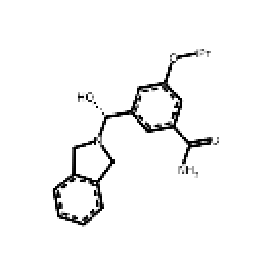 CC(C)Oc1cc(C(N)=O)cc([C@@H](O)N2Cc3ccccc3C2)c1